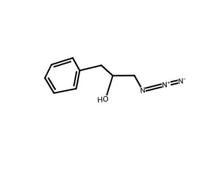 [N-]=[N+]=NCC(O)Cc1ccccc1